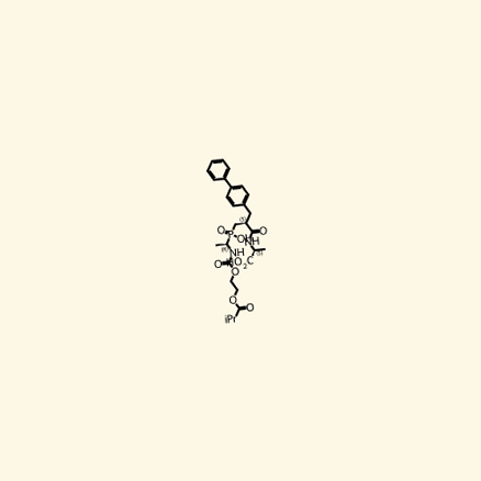 CC(C)C(=O)OCCOC(=O)N[C@@H](C)P(=O)(O)C[C@@H](Cc1ccc(-c2ccccc2)cc1)C(=O)N[C@@H](C)C(=O)O